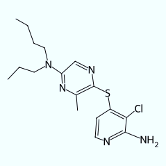 CCCCN(CCC)c1cnc(Sc2ccnc(N)c2Cl)c(C)n1